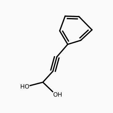 OC(O)C#Cc1ccccc1